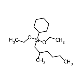 CCCCC(C)C[Si](OCC)(OCC)C1CCCCC1